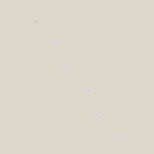 CC(C)(C)OC(=O)NCCNC(=O)CNC(=O)CNC(=O)CN